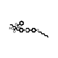 CCCCCCCOc1ccc(C2CCN(c3ccc(CC(CCCC)(NC(=O)c4ccccc4)C(=O)O)cc3)CC2)cc1